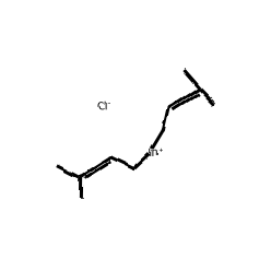 CC(C)=C[CH2][In+][CH2]C=C(C)C.[Cl-]